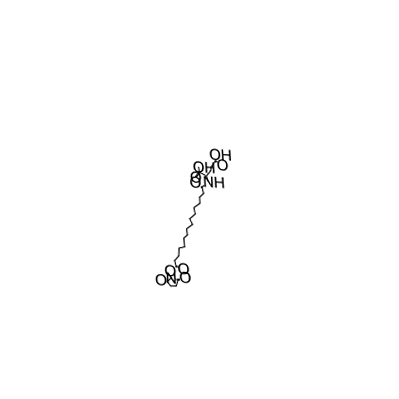 O=C(O)CCC(NC(=O)CCCCCCCCCCCCCCC(=O)ON1C(=O)CCC1=O)C(=O)O